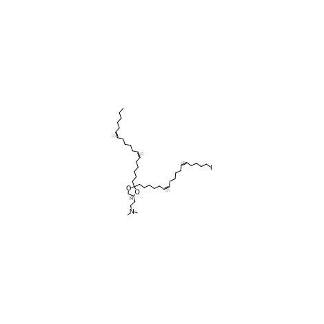 CCCCC/C=C\CCCC/C=C\CCCCCC1(CCCCC/C=C\CCCC/C=C\CCCCI)OC[C@H](CCN(C)C)O1